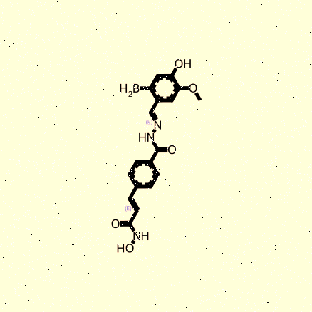 Bc1cc(O)c(OC)cc1/C=N/NC(=O)c1ccc(/C=C/C(=O)NO)cc1